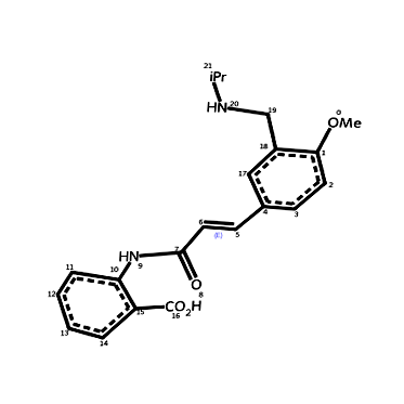 COc1ccc(/C=C/C(=O)Nc2ccccc2C(=O)O)cc1CNC(C)C